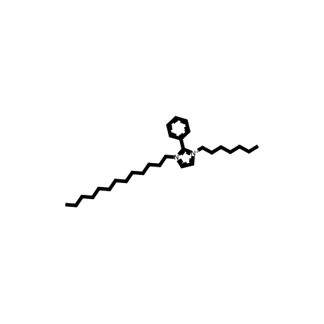 CCCCCCCCCCCCCn1cc[n+](CCCCCCC)c1-c1ccccc1